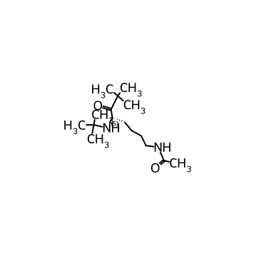 CC(=O)NCCCC[C@H](NC(C)(C)C)C(=O)C(C)(C)C